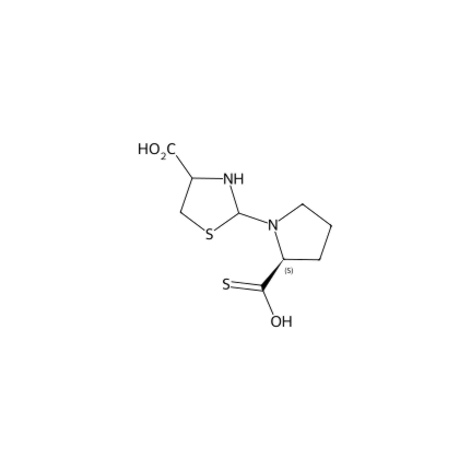 O=C(O)C1CSC(N2CCC[C@H]2C(O)=S)N1